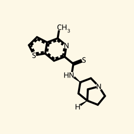 Cc1nc(C(=S)N[C@@H]2C[C@H]3CCN(C3)C2)cc2sccc12